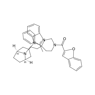 Cc1nc2ccccc2n1C1C[C@H]2CC[C@@H](C1)N2CCC1(c2ccccc2)CCN(C(=O)c2cc3ccccc3o2)CC1